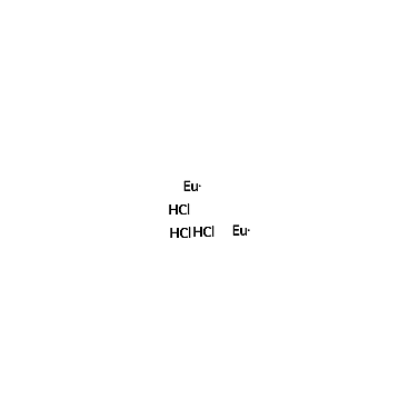 Cl.Cl.Cl.[Eu].[Eu]